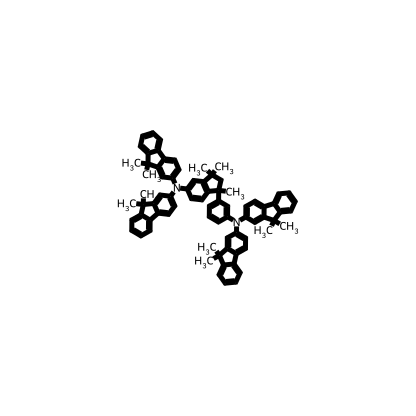 CC1(C)CC(C)(c2cccc(N(c3ccc4c(c3)C(C)(C)c3ccccc3-4)c3ccc4c(c3)C(C)(C)c3ccccc3-4)c2)c2ccc(N(c3ccc4c(c3)C(C)(C)c3ccccc3-4)c3ccc4c(c3)C(C)(C)c3ccccc3-4)cc21